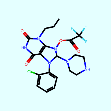 CCCn1c2c(c(=O)[nH]c1=O)N(c1ccccc1Cl)C(N1CCNCC1)N2OC(=O)C(F)(F)F